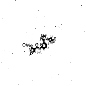 COc1nn(C)cc1C(=O)Nc1cccc(-c2nncn2C2CC(F)(F)C2)n1